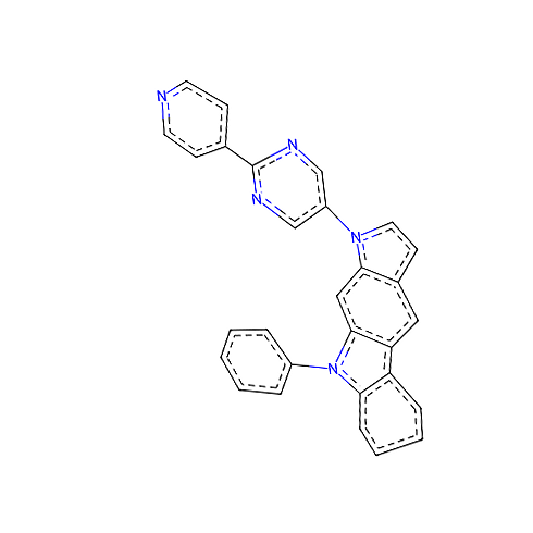 c1ccc(-n2c3ccccc3c3cc4ccn(-c5cnc(-c6ccncc6)nc5)c4cc32)cc1